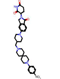 O=C1CCC(N2Cc3cc(N4CCC(CN5CCC6(CC5)CCN(c5ccc([N+](=O)[O-])cc5)CC6)CC4)ccc3C2=O)C(=O)N1